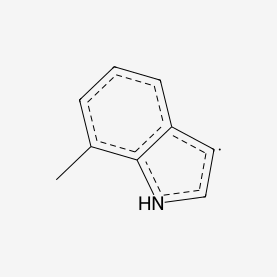 Cc1cccc2[c]c[nH]c12